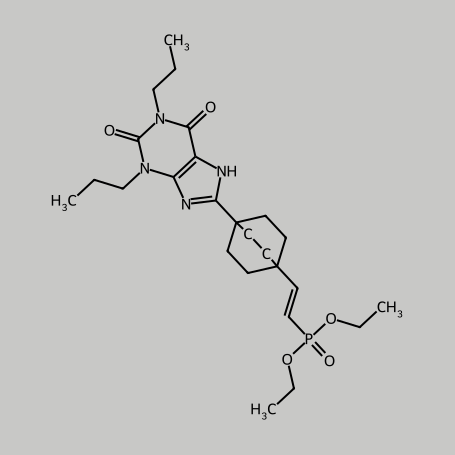 CCCn1c(=O)c2[nH]c(C34CCC(C=CP(=O)(OCC)OCC)(CC3)CC4)nc2n(CCC)c1=O